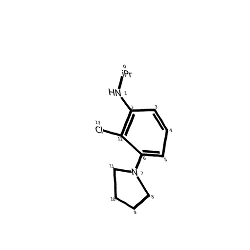 CC(C)Nc1cccc(N2CCCC2)c1Cl